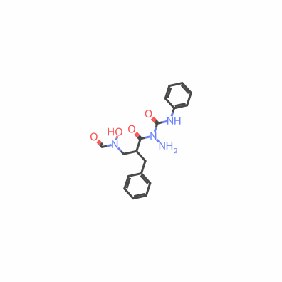 NN(C(=O)Nc1ccccc1)C(=O)C(Cc1ccccc1)CN(O)C=O